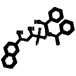 O=C(O)c1ccccc1.O=C(O)c1ccccc1.OC(CC(O)C(F)(F)F)c1ccc2ccccc2c1